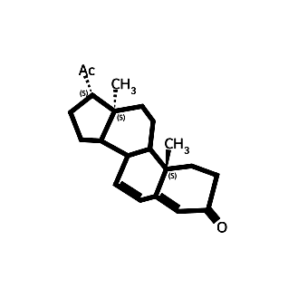 CC(=O)[C@H]1CCC2C3C=CC4=CC(=O)CC[C@@]4(C)C3CC[C@@]21C